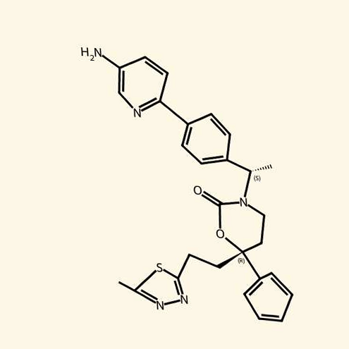 Cc1nnc(CC[C@]2(c3ccccc3)CCN([C@@H](C)c3ccc(-c4ccc(N)cn4)cc3)C(=O)O2)s1